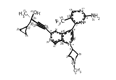 CN1CC(n2cc(-c3nc(N)ncc3C(F)(F)F)c3cc(C#C[C@](C)(O)C4CC4)ncc32)C1